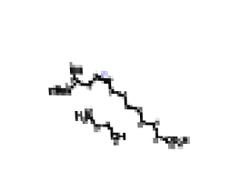 CCCCCCC(O)C/C=C\CCCCCCCC(=O)O.NCCO